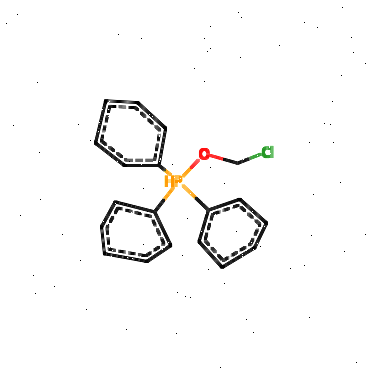 ClCO[PH](c1ccccc1)(c1ccccc1)c1ccccc1